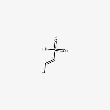 C/C=C/S(=O)(=O)I